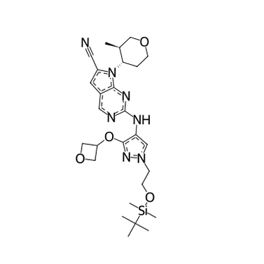 C[C@H]1COCC[C@@H]1n1c(C#N)cc2cnc(Nc3cn(CCO[Si](C)(C)C(C)(C)C)nc3OC3COC3)nc21